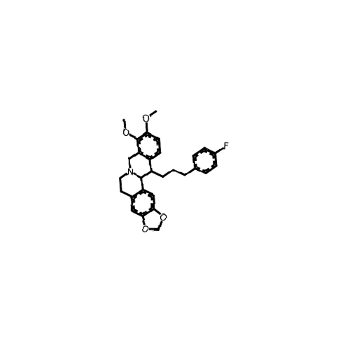 COc1ccc2c(c1OC)CN1CCc3cc4c(cc3C1C2CCCc1ccc(F)cc1)OCO4